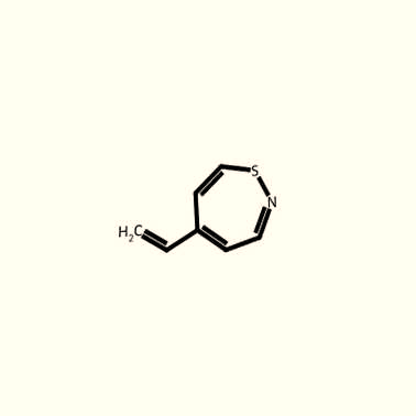 C=CC1=CC=NSC=C1